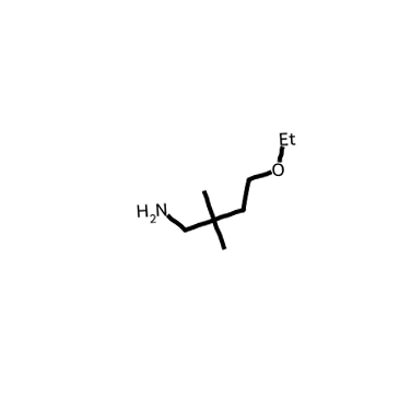 CCOCCC(C)(C)CN